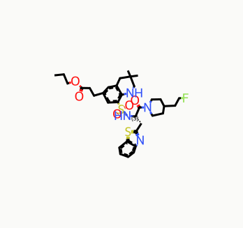 CCCOC(=O)CCc1cc2c(c(S(=O)(=O)N[C@@H](Cc3nc4ccccc4s3)C(=O)N3CCC(CCF)CC3)c1)NCC(C)(C)C2